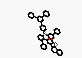 c1ccc(-c2cc(-c3ccccc3)cc(-c3ccc(N(c4cccc(-c5ccccc5)c4)c4cccc(-c5ccccc5)c4-c4ccc5oc6c7ccccc7ccc6c5c4)cc3)c2)cc1